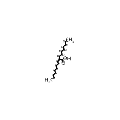 CCCCCCCC/C=C(/CCCCCCCC)C(=O)O